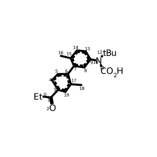 CCC(=O)c1ccc(-c2cc(N(C(=O)O)C(C)(C)C)ccc2C)c(C)c1